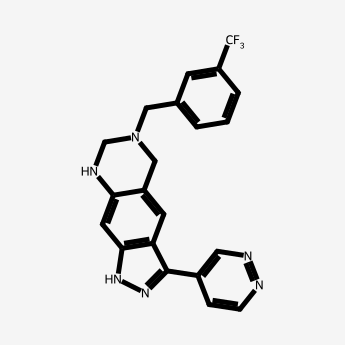 FC(F)(F)c1cccc(CN2CNc3cc4[nH]nc(-c5ccnnc5)c4cc3C2)c1